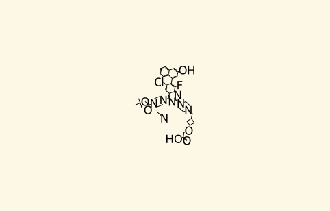 CC(C)(C)OC(=O)N1CCN(c2nc(N3CCN(CC4CC(OCC(=O)O)C4)CC3)nc3c(F)c(-c4cc(O)cc5ccccc45)c(Cl)cc23)C[C@@H]1CC#N